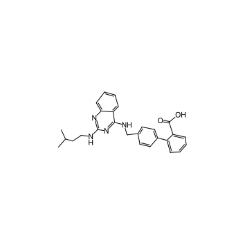 CC(C)CCNc1nc(NCc2ccc(-c3ccccc3C(=O)O)cc2)c2ccccc2n1